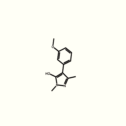 COc1cccc(-c2c(C)nn(C)c2O)c1